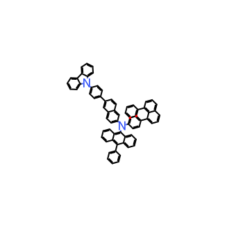 c1ccc(-c2c3ccccc3c(N(c3ccc(-c4cccc5cccc(-c6ccccc6)c45)cc3)c3ccc4cc(-c5ccc(-n6c7ccccc7c7ccccc76)cc5)ccc4c3)c3ccccc23)cc1